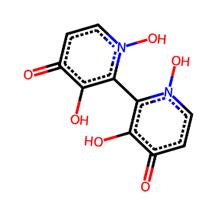 O=c1ccn(O)c(-c2c(O)c(=O)ccn2O)c1O